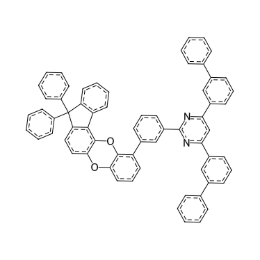 c1ccc(-c2cccc(-c3cc(-c4cccc(-c5ccccc5)c4)nc(-c4cccc(-c5cccc6c5Oc5c(ccc7c5-c5ccccc5C7(c5ccccc5)c5ccccc5)O6)c4)n3)c2)cc1